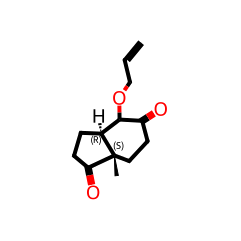 C=CCOC1C(=O)CC[C@]2(C)C(=O)CC[C@@H]12